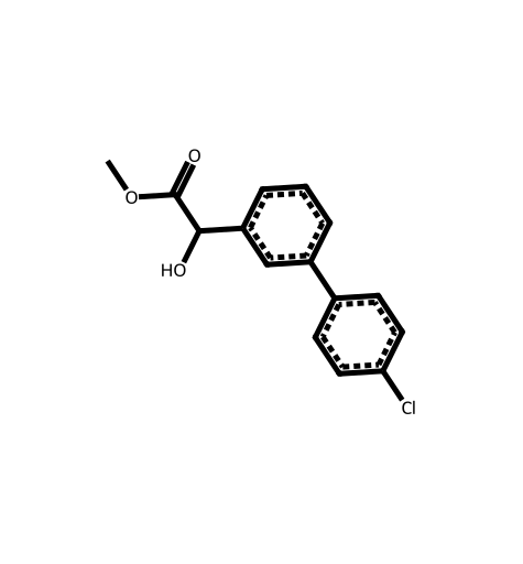 COC(=O)C(O)c1cccc(-c2ccc(Cl)cc2)c1